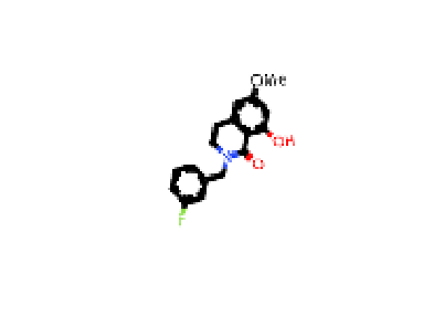 COc1cc(O)c2c(c1)CCN(Cc1cccc(F)c1)C2=O